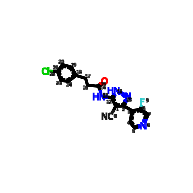 N#Cc1c(-c2ccncc2F)n[nH]c1NC(=O)CCc1ccc(Cl)cc1